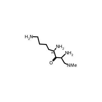 CNCC(N)C(=O)[C@H](N)CCCCN